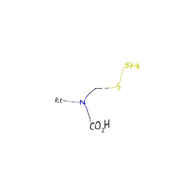 CCN(CSS)C(=O)O